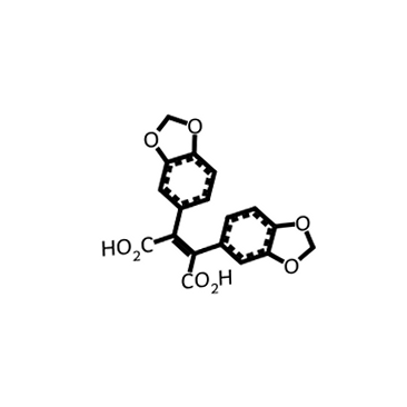 O=C(O)C(=C(C(=O)O)c1ccc2c(c1)OCO2)c1ccc2c(c1)OCO2